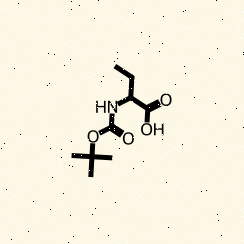 CCC(NC(=O)OC(C)(C)C)C(=O)O